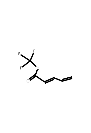 C=CC=CC(=O)OC(F)(F)F